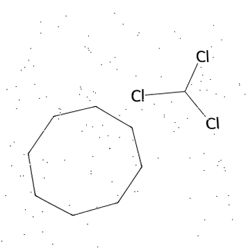 C1CCCCCCC1.ClC(Cl)Cl